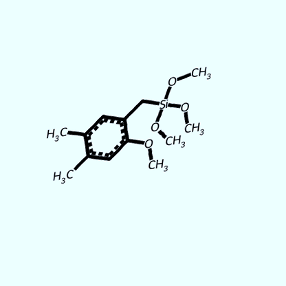 COc1cc(C)c(C)cc1C[Si](OC)(OC)OC